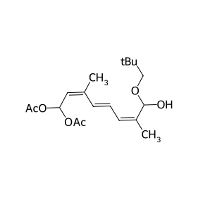 CC(=O)OC(C=C(C)C=CC=C(C)C(O)OCC(C)(C)C)OC(C)=O